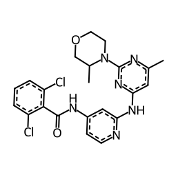 Cc1cc(Nc2cc(NC(=O)c3c(Cl)cccc3Cl)ccn2)nc(N2CCOCC2C)n1